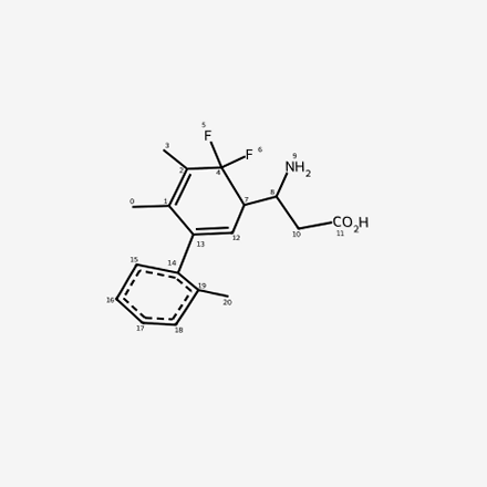 CC1=C(C)C(F)(F)C(C(N)CC(=O)O)C=C1c1ccccc1C